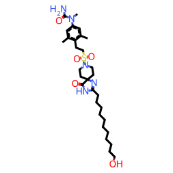 Cc1cc(N(C)C(N)=O)cc(C)c1CCS(=O)(=O)N1CCC2(CC1)N=C(CCCCCCCCCCCO)NC2=O